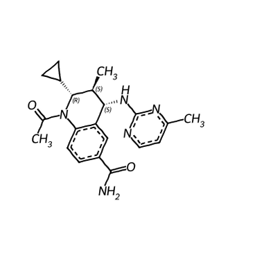 CC(=O)N1c2ccc(C(N)=O)cc2[C@@H](Nc2nccc(C)n2)[C@H](C)[C@H]1C1CC1